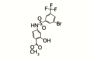 COC(=O)c1ccc(NS(=O)(=O)c2cc(Br)cc(C(F)(F)F)c2)cc1O